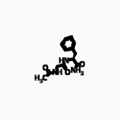 CC(=O)NCC(=O)N[C@@H](Cc1ccccc1)C(N)=O